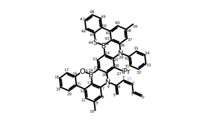 C=C/C=C\C(=C)N1c2cc(C)cc3c2B(Oc2ccccc2-3)c2cc3c(c(C(C)C)c21)N(c1ccccc1)c1cc(C)cc2c1B3Sc1ccccc1-2